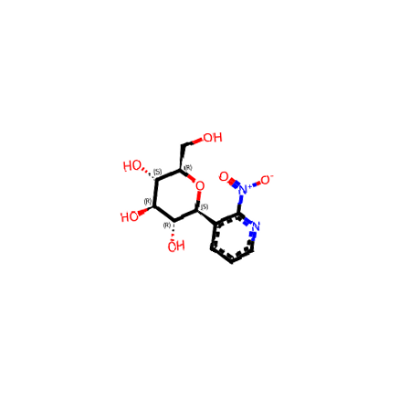 O=[N+]([O-])c1ncccc1[C@@H]1O[C@H](CO)[C@@H](O)[C@H](O)[C@H]1O